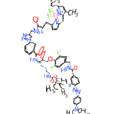 CC1=CC(C)=[N+]2C1=Cc1ccc(CCC(=O)NCc3cn(-c4cccc(C(=O)N[C@@H](CCCCNC(=O)OC(C)(C)C)C(=O)COc5c(F)cc(CNC(=O)c6ccc(/N=N/c7ccc(N(C)C)cc7)cc6)cc5F)c4)nn3)n1[B-]2(F)F